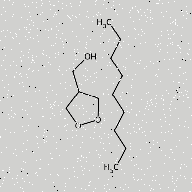 CCCCCCCCC.OCC1COOC1